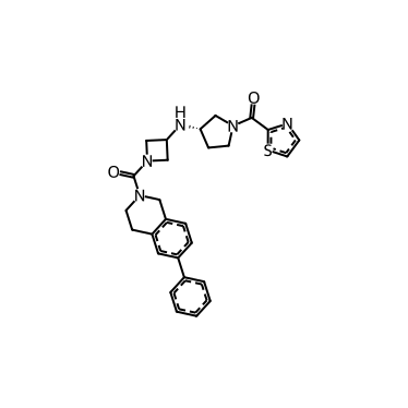 O=C(c1nccs1)N1CC[C@H](NC2CN(C(=O)N3CCc4cc(-c5ccccc5)ccc4C3)C2)C1